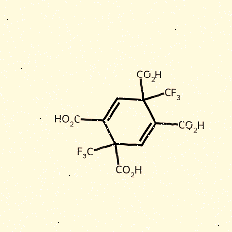 O=C(O)C1=CC(C(=O)O)(C(F)(F)F)C(C(=O)O)=CC1(C(=O)O)C(F)(F)F